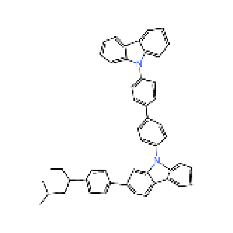 CCC(CC(C)C)c1ccc(-c2ccc3c4ccccc4n(-c4ccc(-c5ccc(-n6c7ccccc7c7ccccc76)cc5)cc4)c3c2)cc1